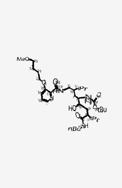 CCCCNC(=O)C(CC(O)C(CC(CNC(=O)c1ncccc1OCCCCOC)C(C)C)NC(=O)OC(C)(C)C)C(C)C